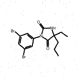 CCCC1(CC)NC(=O)N(c2cc(Br)cc(Br)c2)C1=O